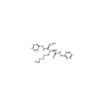 Cl.NCCCS[C@H](NC(=O)OCc1ccccc1)C(=O)OCc1ccccc1